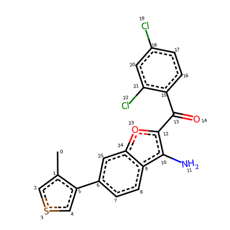 Cc1cscc1-c1ccc2c(N)c(C(=O)c3ccc(Cl)cc3Cl)oc2c1